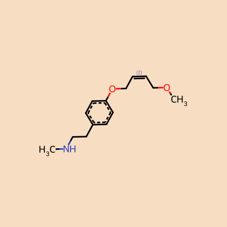 CNCCc1ccc(OC/C=C\COC)cc1